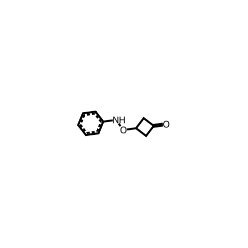 O=C1CC(ONc2ccccc2)C1